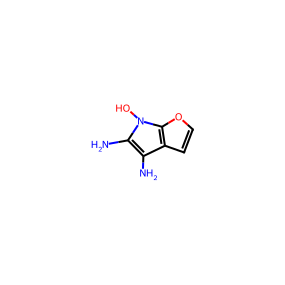 Nc1c(N)n(O)c2occc12